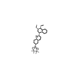 C=Cc1cc(-c2ccc3cc(B4OC(C)(C)C(C)(C)O4)ccc3n2)c2ccccc2c1C=C